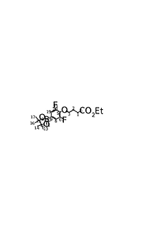 CCOC(=O)CCCOc1c(F)cc(B2OC(C)(C)C(C)(C)O2)cc1F